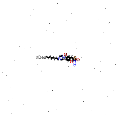 CCCCCCCCCCCCCCCCCCN1CCN(C(=O)c2cccc(C=C3SC(=O)NC3=O)c2)CC1